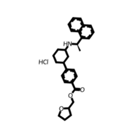 C[C@@H](NC1CCCC(c2ccc(C(=O)OCC3CCCO3)cc2)C1)c1cccc2ccccc12.Cl